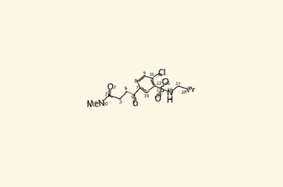 CNC(=O)CCC(=O)c1ccc(Cl)c(S(=O)(=O)NCC(C)C)c1